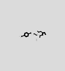 CC1Cc2ccsc2C(C)N1CCNC(=O)c1ccc(C#N)cc1.Cl